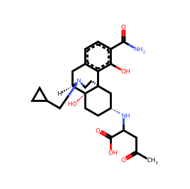 CC(=O)CC(N[C@@H]1CC[C@@]2(O)[C@H]3Cc4ccc(C(N)=O)c(O)c4[C@@]2(CCN3CC2CC2)C1)C(=O)O